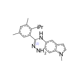 Cc1cc(C)c(C(C)C)c(/C(=N/N)Nc2ccc3c(ccn3C)c2)c1